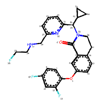 O=C1c2cc(Oc3ccc(F)cc3F)ccc2CCN1[C@@H](c1cccc(CNCCF)n1)C1CC1